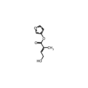 C/C(=C\CO)C(=O)Oc1ccoc1